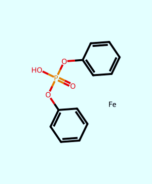 O=P(O)(Oc1ccccc1)Oc1ccccc1.[Fe]